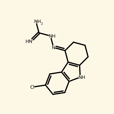 N=C(N)N/N=C1\CCCc2[nH]c3ccc(Cl)cc3c21